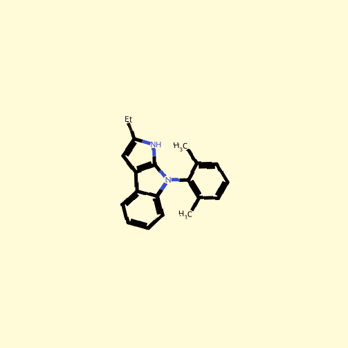 CCc1cc2c3ccccc3n(-c3c(C)cccc3C)c2[nH]1